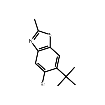 Cc1nc2cc(Br)c(C(C)(C)C)cc2s1